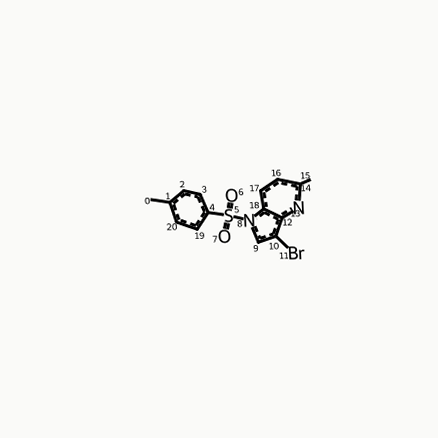 Cc1ccc(S(=O)(=O)n2cc(Br)c3nc(C)ccc32)cc1